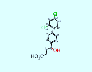 O=C(O)CCC(O)c1ccc(-c2ccc(Cl)cc2Cl)cc1